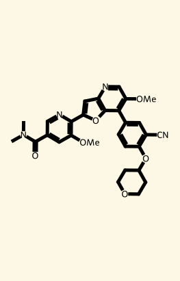 COc1cc(C(=O)N(C)C)cnc1-c1cc2ncc(OC)c(-c3ccc(OC4CCOCC4)c(C#N)c3)c2o1